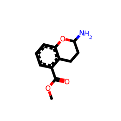 COC(=O)c1cccc2c1CCC(N)O2